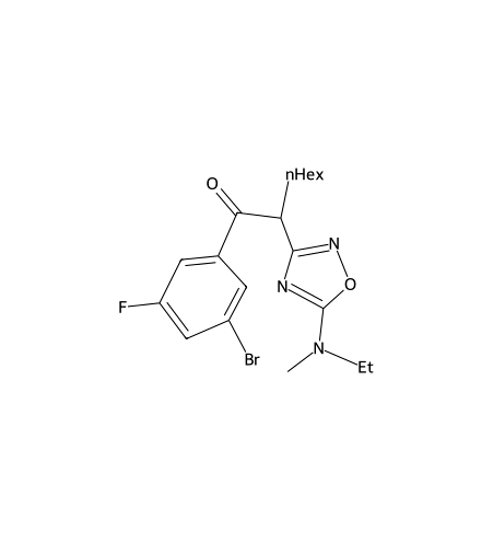 CCCCCCC(C(=O)c1cc(F)cc(Br)c1)c1noc(N(C)CC)n1